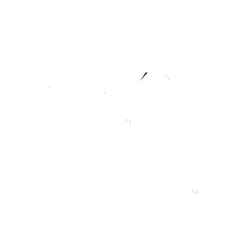 NCc1cccc(S(=O)(=O)N2C[C@H](C(=O)N3CCS(=O)(=O)CC3)C[C@@H](c3ccccc3)C2)c1